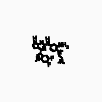 CN(C)CCN(C)c1ccc(Nc2nc(-c3cn(C)c4cc(F)c(F)cc34)c3cc[nH]c3n2)cc1N